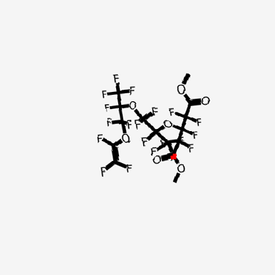 COC(=O)C(F)(F)C(F)(OC(F)(C(F)(F)F)C(F)(F)OC(F)(C(F)(F)F)C(F)(F)OC(F)=C(F)F)C(F)(F)C(=O)OC